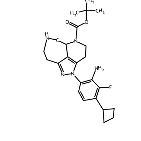 CC(C)(C)OC(=O)N1CCc2c3c(nn2-c2ccc(C4CCC4)c(F)c2N)CCNCC31